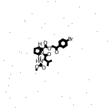 COC(=O)N[C@H](C(=O)N1[C@@H]2CC[C@@H](C2)[C@H]1C(=O)OCC(=O)c1ccc(Br)cc1)C(C)C